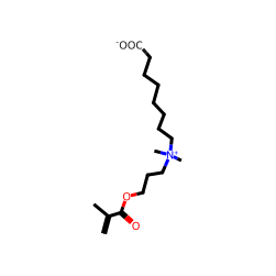 C=C(C)C(=O)OCCC[N+](C)(C)CCCCCCCC(=O)[O-]